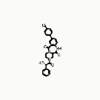 O=C1Nc2ccc(-c3ccc(Cl)cc3)cc2C(=O)N2CCN(C(=O)[C@H](O)c3ccccc3)CC12